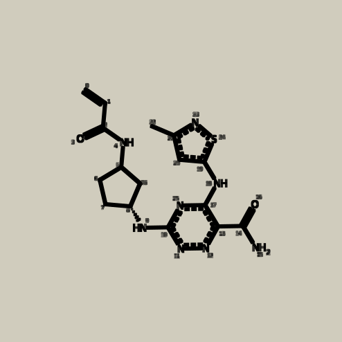 C=CC(=O)NC1CC[C@@H](Nc2nnc(C(N)=O)c(Nc3cc(C)ns3)n2)C1